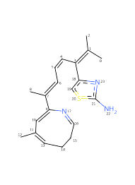 CC(C)=C(\C=C/C=C(C)/C1=C/C(C)=C\CC/C=N\1)c1csc(N)n1